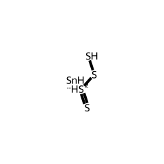 S=[SH]SS.[SnH2]